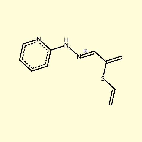 C=CSC(=C)/C=N/Nc1ccccn1